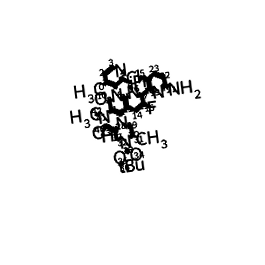 Cc1ccnc(C(C)C)c1-n1c(=O)c2c(c3cc(F)c(-c4nc(N)ccc4Cl)nc31)N1C[C@@H](C)N(C(=O)OC(C)(C)C)C[C@@H]1C(=O)N2C